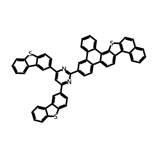 c1ccc2c(c1)ccc1sc3c(ccc4c5ccc(-c6nc(-c7ccc8sc9ccccc9c8c7)cc(-c7ccc8sc9ccccc9c8c7)n6)cc5c5ccccc5c43)c12